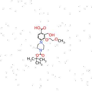 COCCOc1c(N2CCN(C(=O)OC(C)(C)C)CC2)ccc(C(=O)O)c1CO